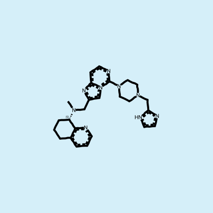 CN(Cc1cn2c(N3CCN(Cc4ncc[nH]4)CC3)nccc2n1)[C@H]1CCCc2cccnc21